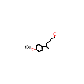 C=C(CCCCO)c1ccc(OC(C)(C)C)cc1